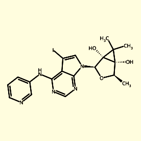 C[C@H]1O[C@@H](n2cc(I)c3c(Nc4cccnc4)ncnc32)[C@@]2(O)C(C)(C)[C@@]12O